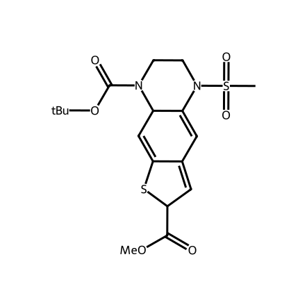 COC(=O)C1C=C2C=C3C(C=C2S1)N(C(=O)OC(C)(C)C)CCN3S(C)(=O)=O